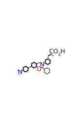 CC(=Cc1cccc(N(Cc2ccc(-c3ccc(N(C)C)cc3)cc2)C(=O)C2CCCCC2)c1)C(=O)O